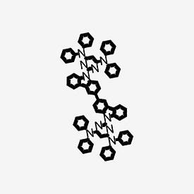 c1ccc(N(c2ccccc2)c2cc(N(c3ccccc3)c3ccccc3)nc(-n3c4ccccc4c4cc(-c5ccc6c(c5)c5ccccc5n6-c5nc(N(c6ccccc6)c6ccccc6)cc(N(c6ccccc6)c6ccccc6)n5)ccc43)n2)cc1